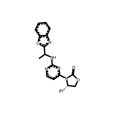 CC(Nc1nccc(N2C(=O)OC[C@@H]2C(C)C)n1)c1nc2ccccc2o1